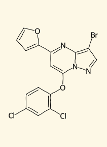 Clc1ccc(Oc2cc(-c3ccco3)nc3c(Br)cnn23)c(Cl)c1